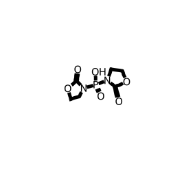 O=C1OCCN1P(=O)(O)N1CCOC1=O